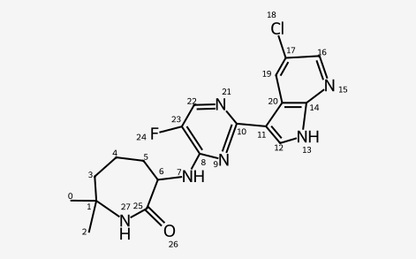 CC1(C)CCCC(Nc2nc(-c3c[nH]c4ncc(Cl)cc34)ncc2F)C(=O)N1